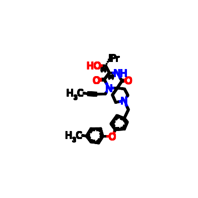 CC#CCN1C(=O)[C@@H]([C@H](O)C(C)C)NC(=O)C12CCN(Cc1ccc(Oc3ccc(C)cc3)cc1)CC2